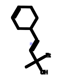 CCC(C)(O)/C=C/C1CC=CCC1